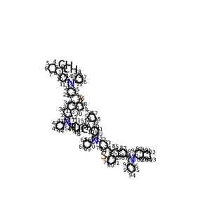 CC1(C)c2ccccc2-c2ccc(N(c3ccccc3)c3ccc4c(c3)Sc3cccc5c3c-4cc3ccc(N(c4ccccc4)c4cccc(CC6(C)c7ccccc7-c7ccc(N(c8ccccc8)c8ccc9c(c8)Sc8cccc%10c8c-9cc8ccc(N(c9ccccc9)c9ccc%11ccccc%11c9)cc8%10)cc76)c4)cc35)cc21